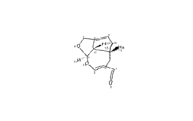 O=CC1=CO[C@H]2OCC3=CC[C@H]1[C@@H]32